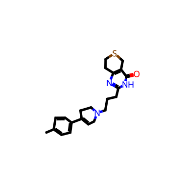 Cc1ccc(C2=CCN(CCCc3nc4c(c(=O)[nH]3)CSCC4)CC2)cc1